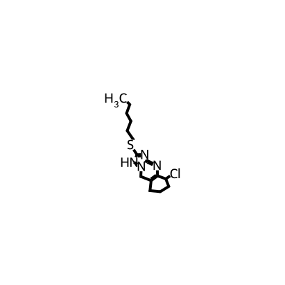 CCCCCCSC1=NC2=NC3=C(CCCC3Cl)CN2N1